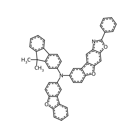 CC1(C)c2ccccc2-c2ccc(N(c3ccc4oc5ccccc5c4c3)c3ccc4oc5cc6oc(-c7ccccc7)nc6cc5c4c3)cc21